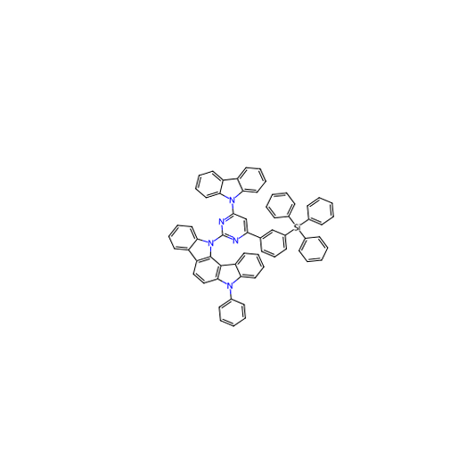 c1ccc(-n2c3ccccc3c3c2ccc2c4ccccc4n(-c4nc(-c5cccc([Si](c6ccccc6)(c6ccccc6)c6ccccc6)c5)cc(-n5c6ccccc6c6ccccc65)n4)c23)cc1